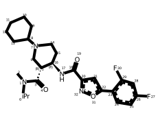 CC(C)N(C)C(=O)[C@@H]1CN(C2CCCCC2)CC[C@H]1NC(=O)c1cc(-c2ccc(F)cc2F)on1